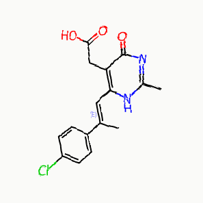 C/C(=C\c1[nH]c(C)nc(=O)c1CC(=O)O)c1ccc(Cl)cc1